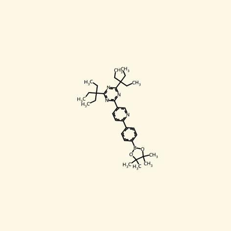 CCC(CC)(CC)c1nc(-c2ccc(-c3ccc(B4OC(C)(C)C(C)(C)O4)cc3)nc2)nc(C(CC)(CC)CC)n1